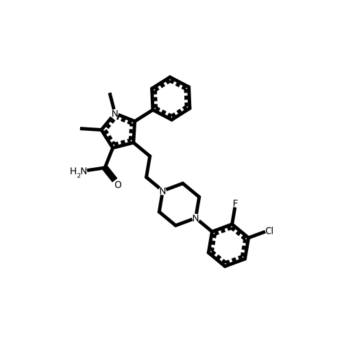 Cc1c(C(N)=O)c(CCN2CCN(c3cccc(Cl)c3F)CC2)c(-c2ccccc2)n1C